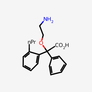 CCCc1ccccc1C(OCCN)(C(=O)O)c1ccccc1